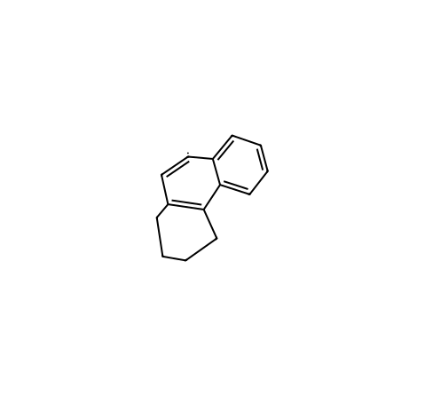 [c]1cc2c(c3ccccc13)CCCC2